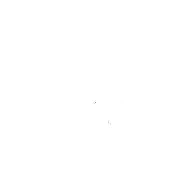 O=C(Nc1nc2ccccc2s1)c1ccc(I)cc1